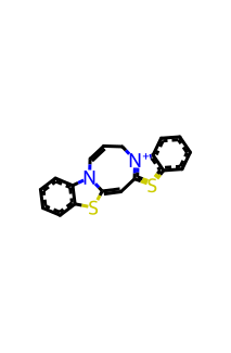 C1=C\N2/C(=C\c3sc4ccccc4[n+]3C/1)Sc1ccccc12